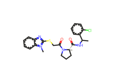 CC(NC(=O)[C@@H]1CCCN1C(=O)CSc1nc2ccccc2n1C)c1ccccc1Cl